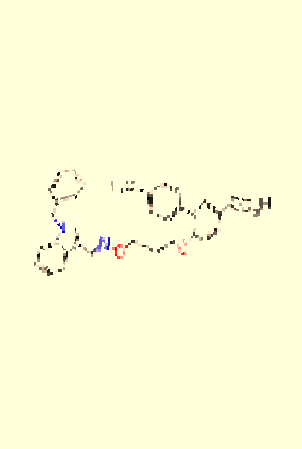 O=C(O)c1ccc(OCCCON=Cc2cn(Cc3ccccc3)c3ccccc23)c(-c2ccc(C(F)(F)F)cc2)c1